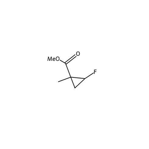 COC(=O)C1(C)CC1F